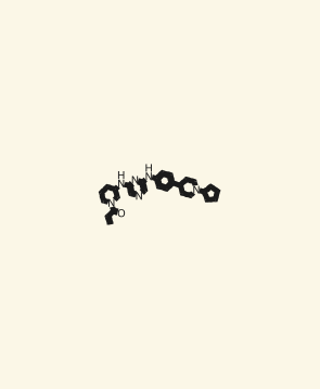 C=CC(=O)N1CCCC(Nc2cncc(Nc3ccc(C4CCN(C5CCCC5)CC4)cc3)n2)C1